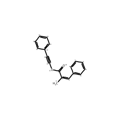 CC(=Cc1ccccc1)C(=O)OC#Cc1ccccc1